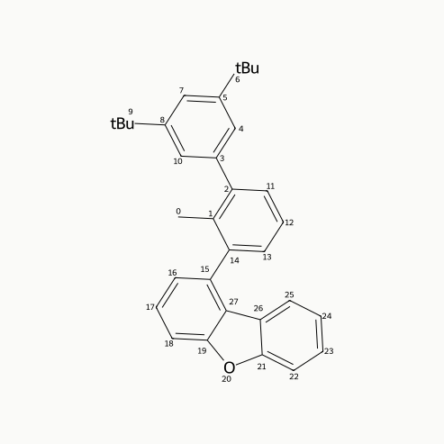 Cc1c(-c2cc(C(C)(C)C)cc(C(C)(C)C)c2)cccc1-c1cccc2oc3ccccc3c12